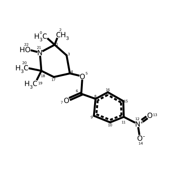 CC1(C)CC(OC(=O)c2ccc([N+](=O)[O-])cc2)CC(C)(C)N1O